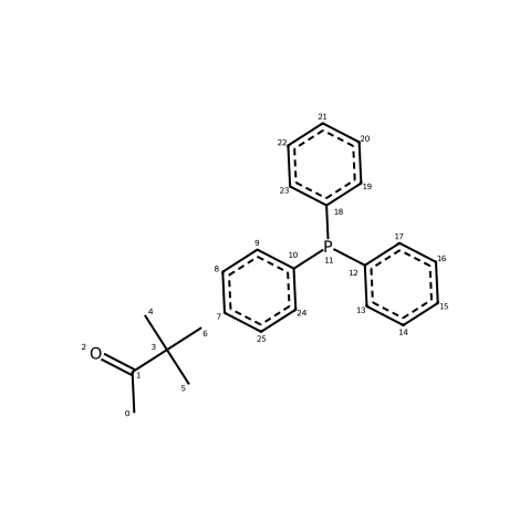 CC(=O)C(C)(C)C.c1ccc(P(c2ccccc2)c2ccccc2)cc1